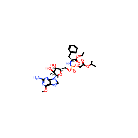 CCOC(=O)[C@H](Cc1ccccc1)NP(=O)(OCC(=O)OC(C)C)OC[C@H]1O[C@@H](n2cnc3c(OC)nc(N)nc32)[C@](C)(O)[C@@H]1O